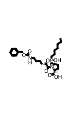 CCCCCCCP(=O)(O)O[C@@H](CCCCNC(=O)OCc1ccccc1)C(=O)N1CCC[C@H]1C(=O)O